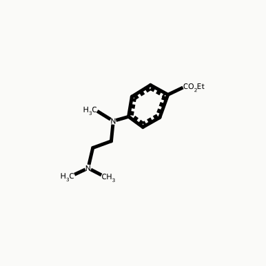 CCOC(=O)c1ccc(N(C)CCN(C)C)cc1